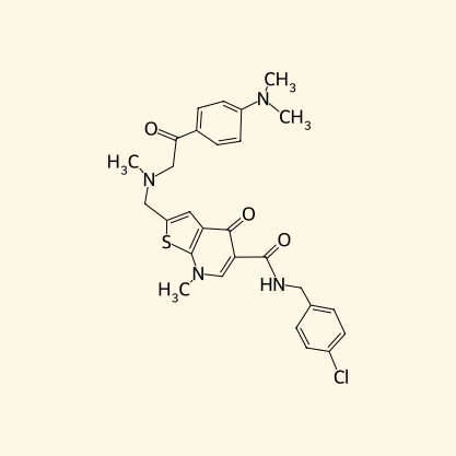 CN(CC(=O)c1ccc(N(C)C)cc1)Cc1cc2c(=O)c(C(=O)NCc3ccc(Cl)cc3)cn(C)c2s1